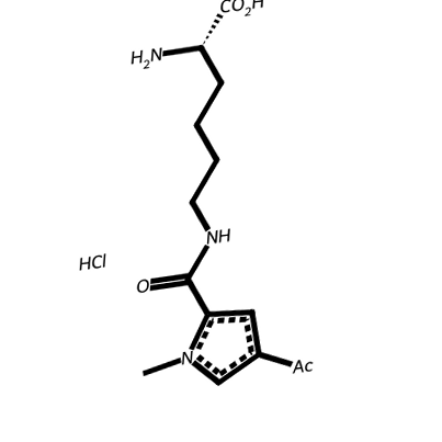 CC(=O)c1cc(C(=O)NCCCC[C@H](N)C(=O)O)n(C)c1.Cl